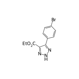 CCOC(=O)c1n[nH]nc1-c1ccc(Br)cc1